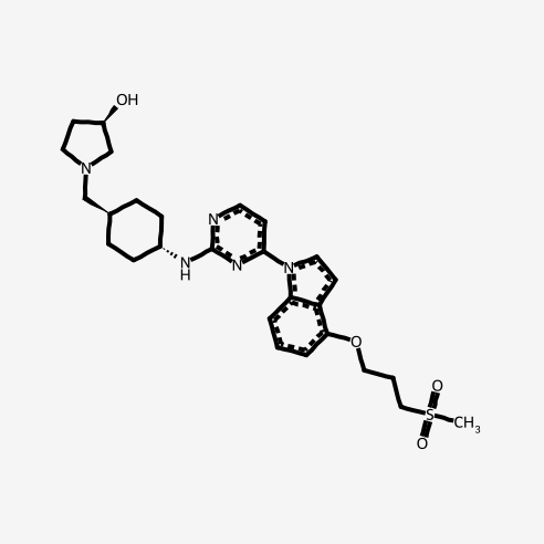 CS(=O)(=O)CCCOc1cccc2c1ccn2-c1ccnc(N[C@H]2CC[C@H](CN3CC[C@@H](O)C3)CC2)n1